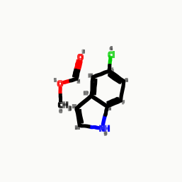 COC=O.Clc1ccc2[nH]ccc2c1